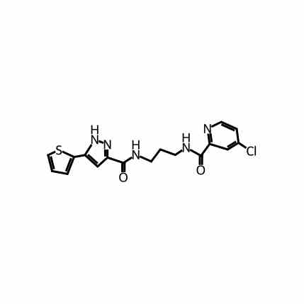 O=C(NCCCNC(=O)c1cc(-c2cccs2)[nH]n1)c1cc(Cl)ccn1